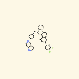 Cc1cc(-c2ccc(F)c(F)c2)cc2ccc3c(c12)CC(Cc1ccccc1)C1=C3C=CCC1.c1cnc2ccncc2c1